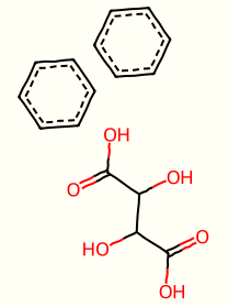 O=C(O)C(O)C(O)C(=O)O.c1ccccc1.c1ccccc1